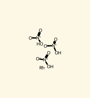 O=[N+]([O-])O.O=[N+]([O-])O.O=[N+]([O-])O.[Rh]